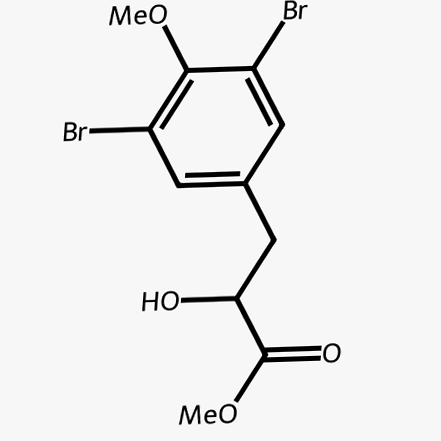 COC(=O)C(O)Cc1cc(Br)c(OC)c(Br)c1